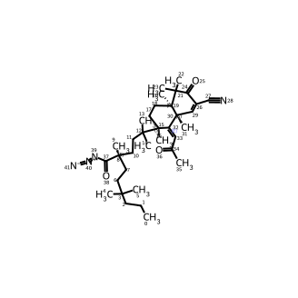 CCCC(C)(C)CC[C@@](C)(CCC(C)(C)[C@]1(C)CC[C@@]2(C)C(C)(C)C(=O)C(C#N)=C[C@]2(C)/C1=C/C(C)=O)C(=O)N=[N+]=[N-]